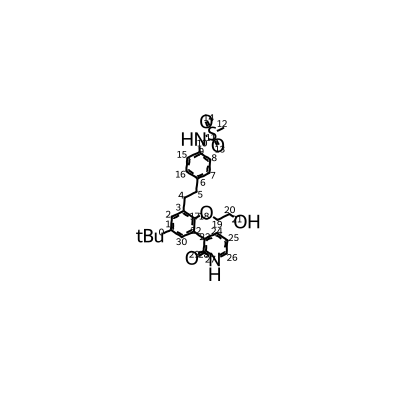 CC(C)(C)c1cc(CCc2ccc(NS(C)(=O)=O)cc2)c(OCCO)c(-c2ccc[nH]c2=O)c1